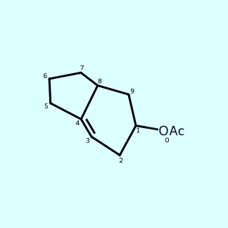 CC(=O)OC1CC=C2CCCC2C1